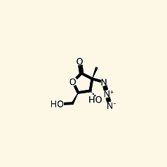 C[C@]1(N=[N+]=[N-])C(=O)O[C@H](CO)[C@H]1O